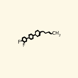 CC=CCCC1=CCC(c2ccc(-c3ccc(F)c(F)c3)cc2)CC1